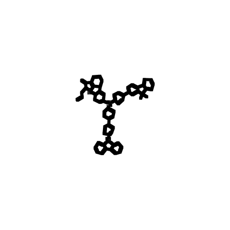 C=CCC1C(=C)C2=C3C(CC=C2)C2=CC(N(c4ccc(-c5ccc(-n6c7ccccc7c7ccccc76)cc5)cc4)c4ccc(-c5ccc6c(c5)C(C)(C)c5ccccc5-6)cc4)=CCC2N31